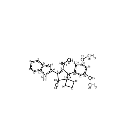 CNC1=C(c2nc3ccccc3[nH]2)C(=O)C2(CCC2)N1c1cc(OC)cc(OC)c1